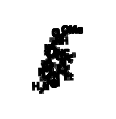 CC[C@@H]1CN(C(=O)C(C)(C)C#N)C[C@H]1Nc1c(C(N)=O)cnn2cc(-c3ccc(CNC(=O)COC)nc3)cc12